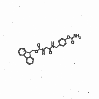 NC(=O)Oc1ccc(CNC(=O)CNC(=O)OCC2c3ccccc3-c3ccccc32)cc1